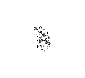 CC(C)[C@]12O[C@H]1[C@@H]1O[C@@]13[C@@]1(C)CCC4=C(COC4=O)[C@]1(O)C[C@@H]1O[C@@]13C2=O